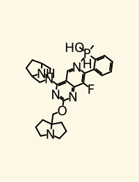 C[PH](C)(O)c1ccccc1-c1ncc2c(N3CC4CCC(C3)N4)nc(OCC34CCCN3CCC4)nc2c1F